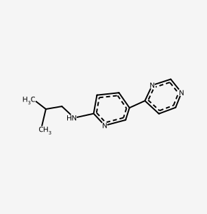 CC(C)CNc1ccc(-c2ccncn2)cn1